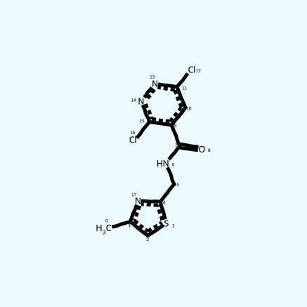 Cc1csc(CNC(=O)c2cc(Cl)nnc2Cl)n1